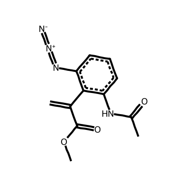 C=C(C(=O)OC)c1c(N=[N+]=[N-])cccc1NC(C)=O